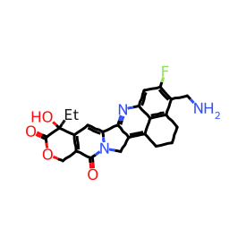 CCC1(O)C(=O)OCc2c1cc1n(c2=O)Cc2c-1nc1cc(F)c(CN)c3c1c2CCC3